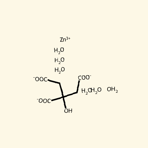 O.O.O.O.O.O.O=C([O-])CC(O)(CC(=O)[O-])C(=O)[O-].[Zn+3]